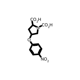 O=C(O)C1CC(Oc2ccc([N+](=O)[O-])cc2)CN1C(=O)O